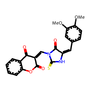 COc1ccc(/C=C2/NC(=S)N(/C=C3\C(=O)Oc4ccccc4C3=O)C2=O)cc1OC